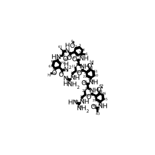 COC1=CCC(C)(NC(=O)[C@@H](CCCNC(=N)N)NC(=O)c2cc(NC(=O)[C@@H](CCCNC(=N)N)NC(=O)c3cc(NC(C)=O)ccc3OC)ccc2OC)C=C1C(=O)N[C@H](C)C(=O)Nc1ccc(OC)c(C(N)=O)c1